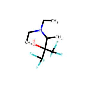 CCN(CC)C(C)C(O)(C(F)(F)F)C(F)(F)F